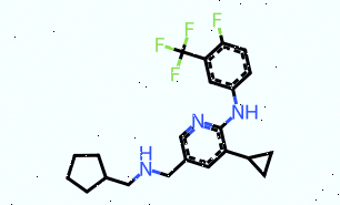 Fc1ccc(Nc2ncc(CNCC3CCCC3)cc2C2CC2)cc1C(F)(F)F